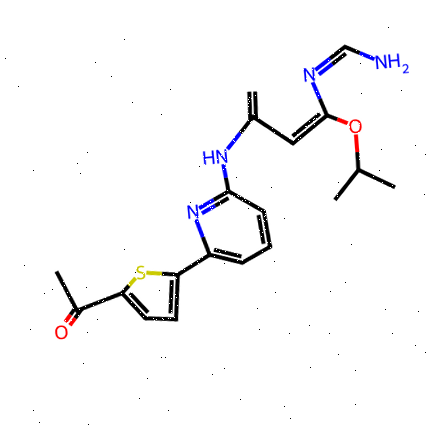 C=C(/C=C(\N=C/N)OC(C)C)Nc1cccc(-c2ccc(C(C)=O)s2)n1